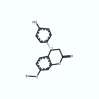 CCOc1ccc2c(c1)OC(=O)C[C@H]2c1ccc(O)cc1